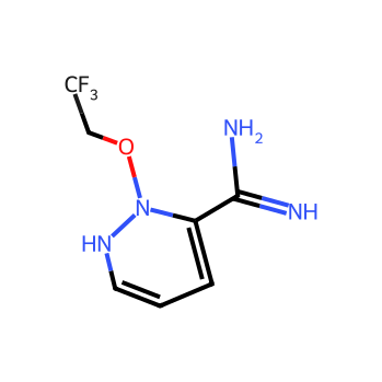 N=C(N)C1=CC=CNN1OCC(F)(F)F